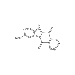 COc1ccc2[nH]c3c(c2c1)C(=O)c1cnccc1C3=O